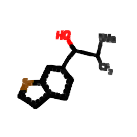 CNC(C(O)c1ccc2ccsc2c1)C(F)(F)F